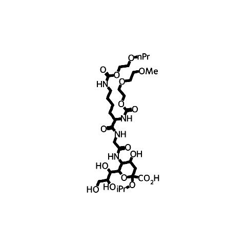 CCCOCCOC(=O)NCCCCC(NC(=O)OCCOCCOC)C(=O)NCC(=O)NC1C(O)CC(OC(C)C)(C(=O)O)OC1C(O)C(O)CO